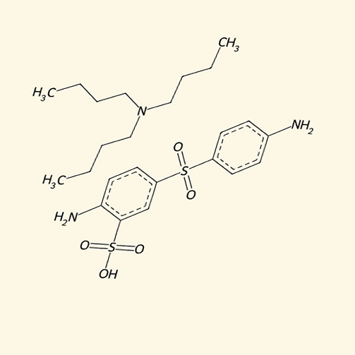 CCCCN(CCCC)CCCC.Nc1ccc(S(=O)(=O)c2ccc(N)c(S(=O)(=O)O)c2)cc1